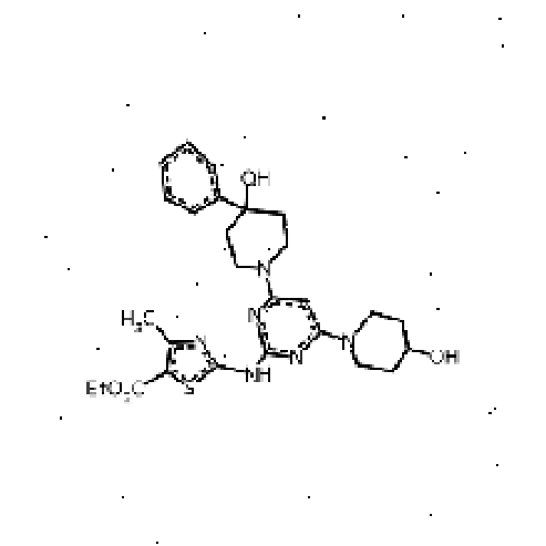 CCOC(=O)c1sc(Nc2nc(N3CCC(O)CC3)cc(N3CCC(O)(c4ccccc4)CC3)n2)nc1C